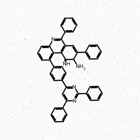 N=C1c2c(c(-c3ccccc3)nc3cccc(-c4ccc(-c5cc(-c6ccccc6)nc(-c6ccccc6)n5)cc4)c23)C=C(c2ccccc2)C1N